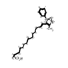 Cc1nnn(-c2ccccc2)c1CCCCCCCCCCCCCC(=O)O